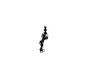 CC(C)OC(=O)N1Cc2cc3c(cc2C[C@H]1C(=O)N[C@@H](Cc1ccc(-c2ccc(C#N)cc2)cc1)C(=O)O)N(C)C(=O)C(c1ccc(OCc2ccc(Cl)c(Cl)c2)cc1)O3